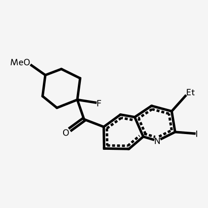 CCc1cc2cc(C(=O)C3(F)CCC(OC)CC3)ccc2nc1I